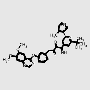 COc1cc2ncnc(Oc3cccc(CC(=S)C(=O)C(=N)C4=CC(C(C)(C)C)=N[C@H](c5cnccc5C)C4)c3)c2cc1OC